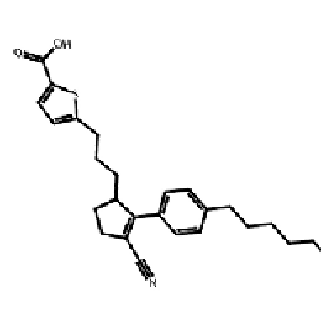 CCCCCCc1ccc(C2=C(C#N)CCC2CCCc2ccc(C(=O)O)s2)cc1